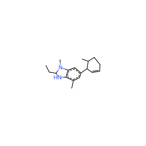 CCC1Nc2c(C)cc(C3C=CCCC3C)cc2N1C